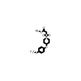 CC(C)(C)OC(=O)CS(=O)(=O)N1CCC(Oc2ccc(SC(F)(F)F)cc2)CC1